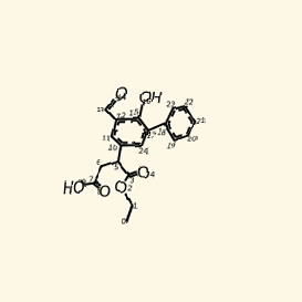 CCOC(=O)C(CC(=O)O)c1cc(C=O)c(O)c(-c2ccccc2)c1